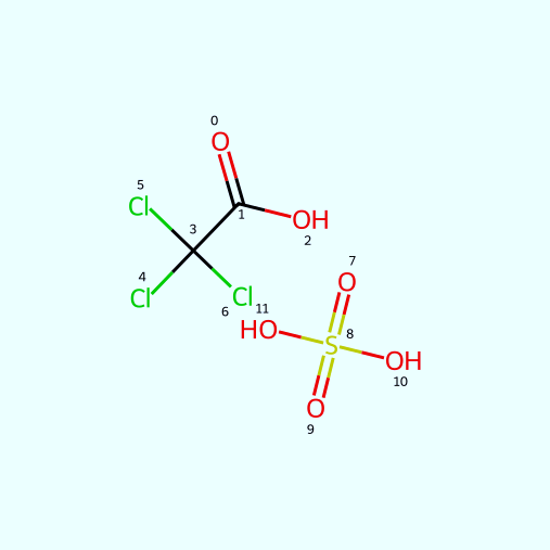 O=C(O)C(Cl)(Cl)Cl.O=S(=O)(O)O